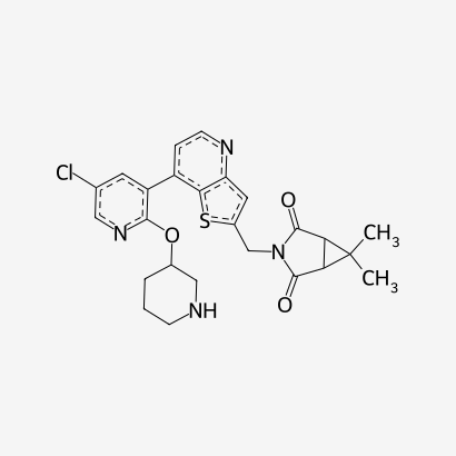 CC1(C)C2C(=O)N(Cc3cc4nccc(-c5cc(Cl)cnc5OC5CCCNC5)c4s3)C(=O)C21